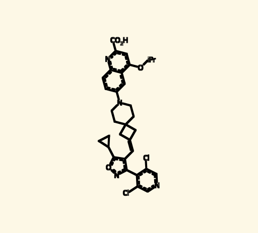 CC(C)Oc1cc(C(=O)O)nc2ccc(N3CCC4(CC3)CC(=Cc3c(-c5c(Cl)cncc5Cl)noc3C3CC3)C4)cc12